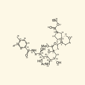 COC(=O)[C@@]1(CCN2CCOC[C@@]23CCN(C(=O)OC(C)(C)C)C3)C[C@H](O)[C@@H](NC(C)=O)[C@H]([C@H](O)[C@H](O)CNC(=O)c2ccc(C)c(C)c2)O1